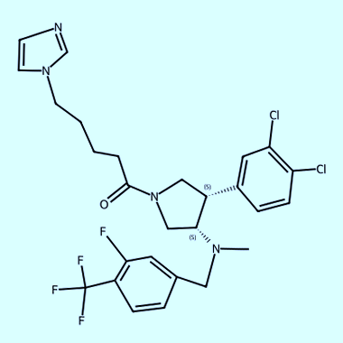 CN(Cc1ccc(C(F)(F)F)c(F)c1)[C@@H]1CN(C(=O)CCCCn2ccnc2)C[C@@H]1c1ccc(Cl)c(Cl)c1